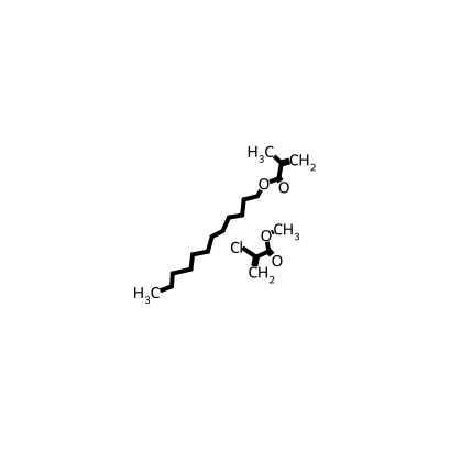 C=C(C)C(=O)OCCCCCCCCCCCC.C=C(Cl)C(=O)OC